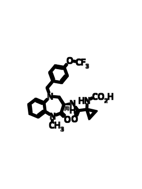 CN1C(=O)[C@H](NC(=O)C2(NC(=O)O)CC2)CN(Cc2ccc(OC(F)(F)F)cc2)c2ccccc21